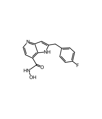 O=C(NO)c1ccnc2cc(Cc3ccc(F)cc3)[nH]c12